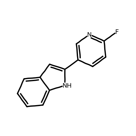 Fc1ccc(-c2cc3ccccc3[nH]2)cn1